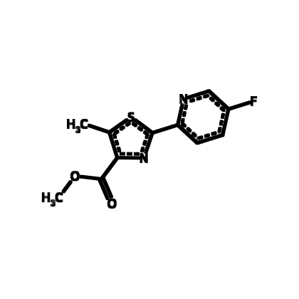 COC(=O)c1nc(-c2ccc(F)cn2)sc1C